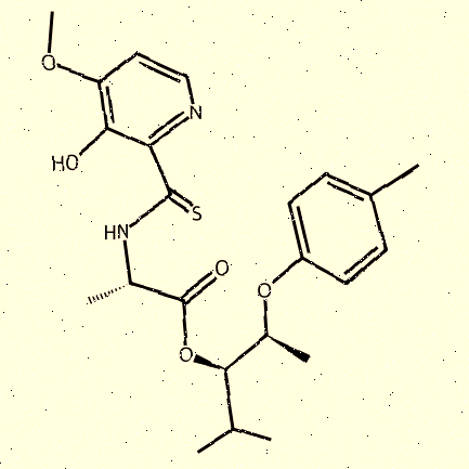 COc1ccnc(C(=S)N[C@@H](C)C(=O)O[C@H](C(C)C)[C@H](C)Oc2ccc(C)cc2)c1O